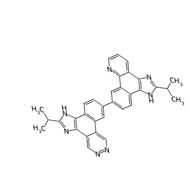 CC(C)c1nc2c3cnncc3c3cc(-c4ccc5c(c4)c4ncccc4c4nc(C(C)C)[nH]c54)ccc3c2[nH]1